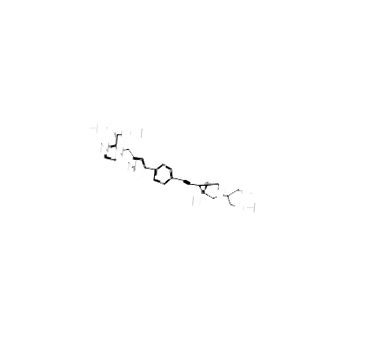 C[C@H](O)c1nccn1Cc1cc(-c2ccc(C#CC3[C@H]4CN(C(CO)CO)C[C@@H]34)cc2)on1